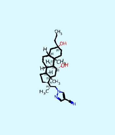 CCC[C@@]1(O)CC[C@@]2(C)[C@H](CC[C@@H]3[C@@H]2[C@H](O)C[C@]2(C)[C@@H]([C@@H](C)Cn4cc(C#N)cn4)CC[C@@H]32)C1